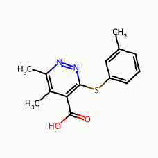 Cc1cccc(Sc2nnc(C)c(C)c2C(=O)O)c1